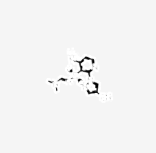 CN(C)C=NS(=O)(=O)c1c(N)ccnc1-n1cc(C#N)cn1